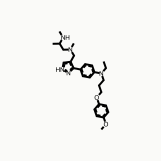 CCN(CCCOc1ccc(OC)cc1)c1ccc(-c2n[nH]cc2CN(C)CC(C)NC)cc1